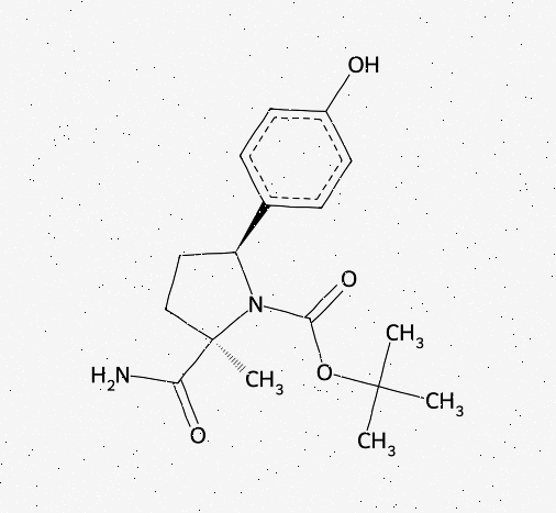 CC(C)(C)OC(=O)N1[C@H](c2ccc(O)cc2)CC[C@]1(C)C(N)=O